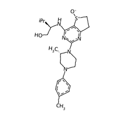 Cc1ccc(N2CCN(c3nc4c(c(N[C@@H](CO)C(C)C)n3)[S+]([O-])CC4)[C@@H](C)C2)cc1